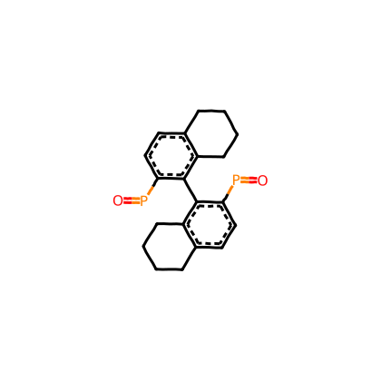 O=Pc1ccc2c(c1-c1c(P=O)ccc3c1CCCC3)CCCC2